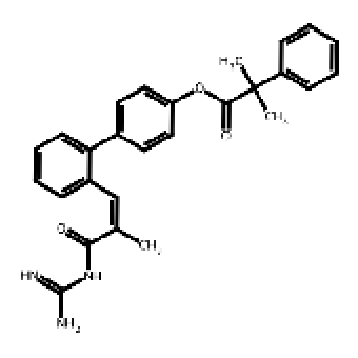 CC(=Cc1ccccc1-c1ccc(OC(=O)C(C)(C)c2ccccc2)cc1)C(=O)NC(=N)N